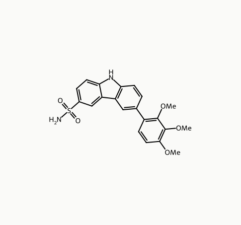 COc1ccc(-c2ccc3[nH]c4ccc(S(N)(=O)=O)cc4c3c2)c(OC)c1OC